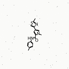 Cc1ccc(NC(=O)c2cc(-c3csc(C)n3)cn2C)cc1